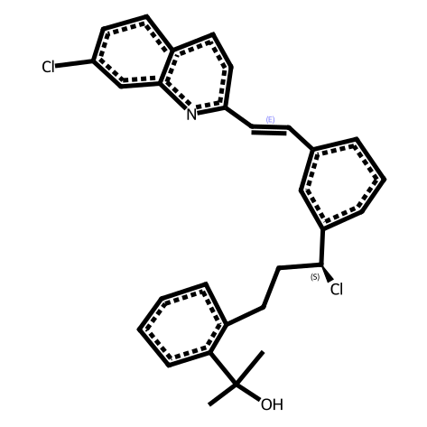 CC(C)(O)c1ccccc1CC[C@H](Cl)c1cccc(/C=C/c2ccc3ccc(Cl)cc3n2)c1